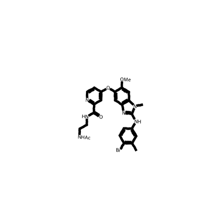 COc1cc2c(cc1Oc1ccnc(C(=O)NCCNC(C)=O)c1)nc(Nc1ccc(Br)c(C)c1)n2C